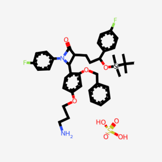 CC(C)(C)[Si](C)(C)OC(CCC1C(=O)N(c2ccc(F)cc2)C1c1ccc(OCCCN)cc1OCc1ccccc1)c1ccc(F)cc1.O=S(=O)(O)O